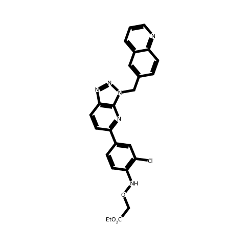 CCOC(=O)CONc1ccc(-c2ccc3nnn(Cc4ccc5ncccc5c4)c3n2)cc1Cl